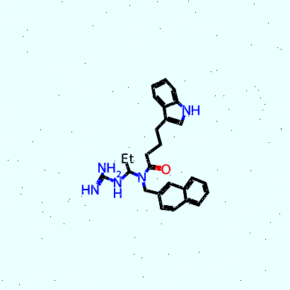 CCC(NC(=N)N)N(Cc1ccc2ccccc2c1)C(=O)CCCc1c[nH]c2ccccc12